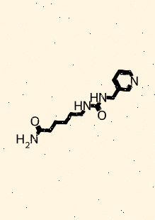 NC(=O)CCCCCNC(=O)NCc1cccnc1